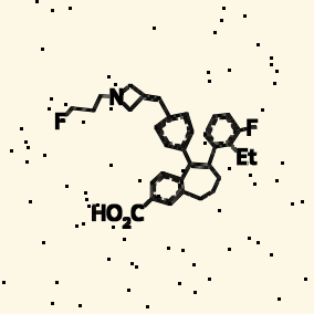 CCc1c(F)cccc1C1=C(c2ccc(C=C3CN(CCCF)C3)cc2)c2ccc(C(=O)O)cc2CCC1